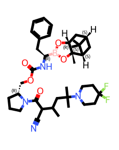 CC(CC(C)(C)N1CCC(F)(F)CC1)C(C#N)C(=O)N1CCC[C@@H]1COC(=O)N[C@@H](Cc1ccccc1)B1O[C@@H]2C[C@@H]3C[C@@H](C3(C)C)[C@]2(C)O1